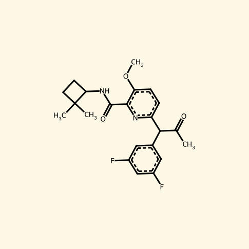 COc1ccc(C(C(C)=O)c2cc(F)cc(F)c2)nc1C(=O)NC1CCC1(C)C